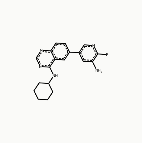 Nc1cc(-c2ccc3ncnc(NC4CCCCC4)c3c2)cnc1F